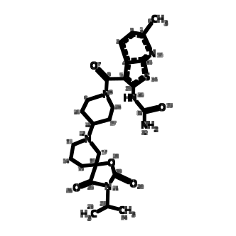 Cc1ccc2c(C(=O)N3CCC(N4CCCC5(C4)OC(=O)N(C(C)C)C5=O)CC3)c(NC(N)=O)sc2n1